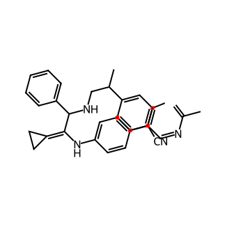 C=C(C)/N=C\C(=C/C)c1ccc(NC(=C2CC2)C(NCC(C)c2ccc(C#N)cc2)c2ccccc2)cc1